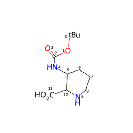 CC(C)(C)OC(=O)NC1CCCNC1C(=O)O